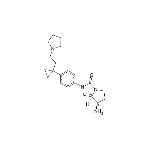 N[C@@H]1CCN2C(=O)N(c3ccc(C4(CCN5CCCC5)CC4)cc3)C[C@H]12